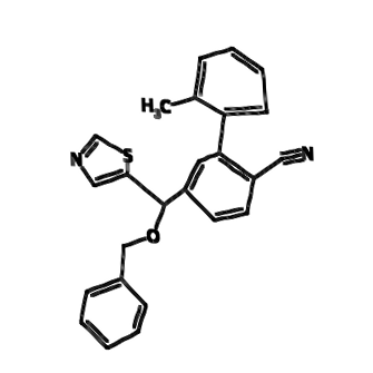 Cc1ccccc1-c1cc(C(OCc2ccccc2)c2cncs2)ccc1C#N